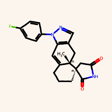 C[C@]12Cc3cnn(-c4ccc(F)cc4)c3C=C1CCC[C@@]21CC(=O)NC1=O